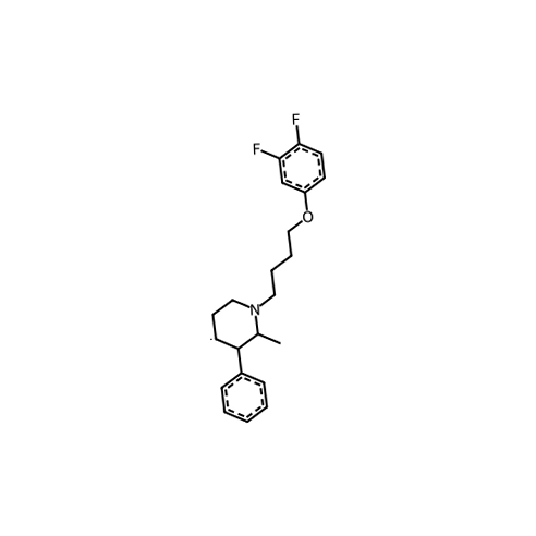 CC1C(c2ccccc2)[CH]CCN1CCCCOc1ccc(F)c(F)c1